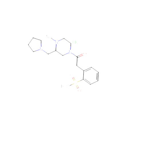 CC(=O)N1CCN(C(=O)Cc2ccccc2S(C)(=O)=O)CC1CN1CCCC1.Cl